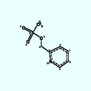 O=S(=O)(OCc1ccccn1)C(F)(F)F